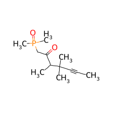 CC#CC(C)(C)C(C)C(=O)CP(C)(C)=O